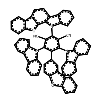 N#Cc1c(-n2c3ccccc3c3ccccc32)c(-c2ccc3oc4ccccc4c3c2)c(-n2c3ccccc3c3ccccc32)c(C#N)c1-n1c2ccccc2c2ccc3c4ccccc4oc3c21